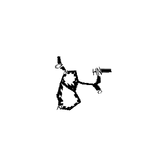 CNC(=O)c1cn(OC)c2cnccc12